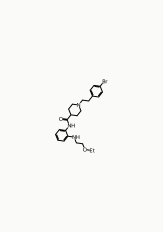 CCOCCNc1ccccc1NC(=O)C1CCN(CCc2ccc(Br)cc2)CC1